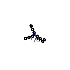 C[Si]1(C)c2cc(-c3cccc4ccccc34)ccc2C2=CC=C(n3c4ccc(-c5ccc(-c6ccccc6)cc5)cc4c4cc(-c5ccc(-c6ccccc6)cc5)ccc43)CC21